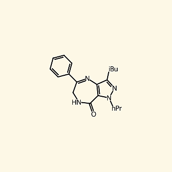 CCCn1nc(C(C)CC)c2c1C(=O)NCC(c1ccccc1)=N2